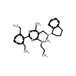 CCCNc1nc(-c2c(CC)cccc2CC)nc(C)c1CN(C)[C@H]1CCCc2ccccc21